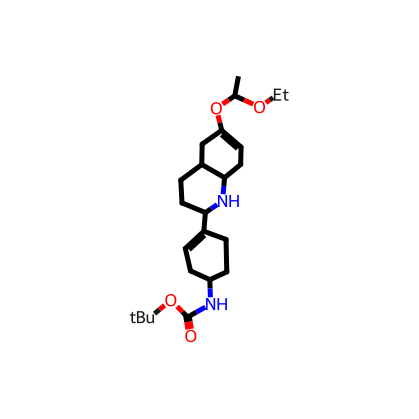 CCOC(C)OC1=CCC2NC(C3=CCC(NC(=O)OC(C)(C)C)CC3)CCC2C1